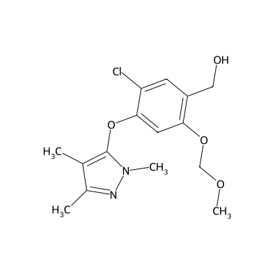 COCOc1cc(Oc2c(C)c(C)nn2C)c(Cl)cc1CO